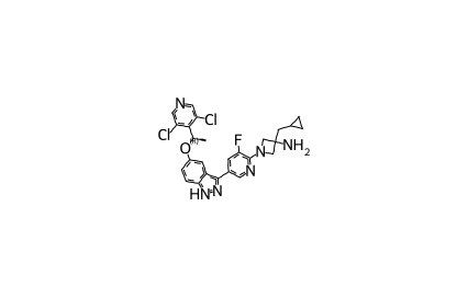 C[C@@H](Oc1ccc2[nH]nc(-c3cnc(N4CC(N)(CC5CC5)C4)c(F)c3)c2c1)c1c(Cl)cncc1Cl